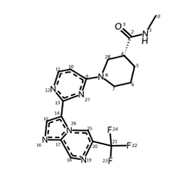 CNC(=O)[C@@H]1CCCN(c2ccnc(-c3cnc4cnc(C(F)(F)F)cn34)n2)C1